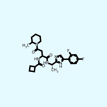 CC1CCCCN1C(=O)CC(NC(=O)C1CCC1)C(=O)N[C@@H](C)c1ncc(-c2ccc(F)cc2F)[nH]1